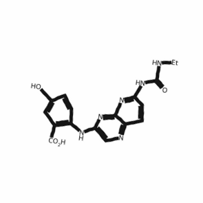 CCNC(=O)Nc1ccc2ncc(Nc3ccc(O)cc3C(=O)O)nc2n1